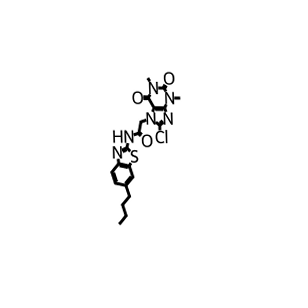 CCCCc1ccc2nc(NC(=O)Cn3c(Cl)nc4c3c(=O)n(C)c(=O)n4C)sc2c1